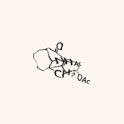 CC(=O)NC1C2CCCCCC1(C)c1cc(OC(C)=O)ccc1C2=O